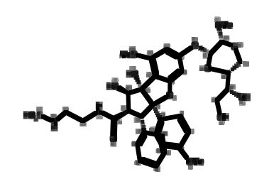 COc1ccc([C@@]23Oc4cc(O[C@H]5O[C@@H]([C@H](O)CO)CO[C@H]5OC)cc(OC)c4[C@]2(O)[C@H](O)[C@H](C(=O)NCCNC(=O)O)[C@H]3c2ccccc2)cc1